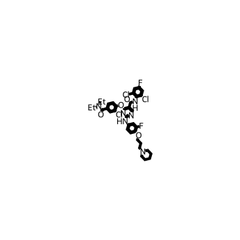 CCN(CC)C(=O)c1ccc(Oc2nc(Nc3ccc(OCCCN4CCCCC4)c(F)c3)ncc2C(=O)Nc2c(Cl)cc(F)cc2Cl)c(Cl)c1